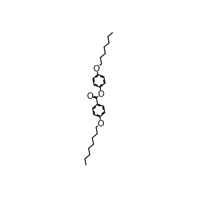 CCCCCCCCOc1ccc(C(=O)Oc2ccc(OCCCCCCC)cc2)cc1